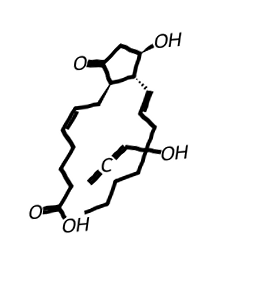 C=C=CC(O)(C/C=C/[C@H]1[C@H](O)CC(=O)[C@@H]1C/C=C\CCCC(=O)O)CCCC